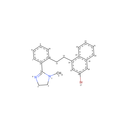 CN1CCN=C1c1ccccc1CCc1cc(Br)cc2ccccc12